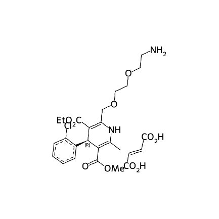 CCOC(=O)C1=C(COCCOCCN)NC(C)=C(C(=O)OC)[C@H]1c1ccccc1Cl.O=C(O)C=CC(=O)O